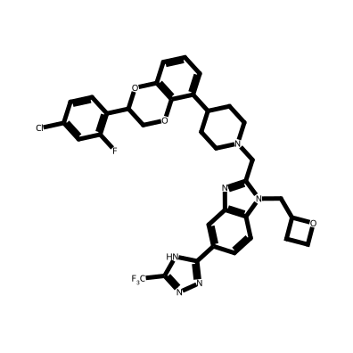 Fc1cc(Cl)ccc1C1COc2c(cccc2C2CCN(Cc3nc4cc(-c5nnc(C(F)(F)F)[nH]5)ccc4n3CC3CCO3)CC2)O1